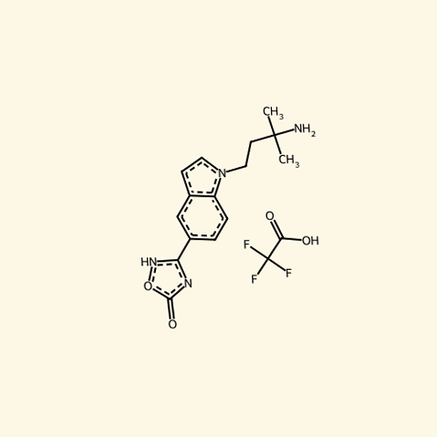 CC(C)(N)CCn1ccc2cc(-c3nc(=O)o[nH]3)ccc21.O=C(O)C(F)(F)F